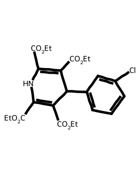 CCOC(=O)C1=C(C(=O)OCC)C(c2cccc(Cl)c2)C(C(=O)OCC)=C(C(=O)OCC)N1